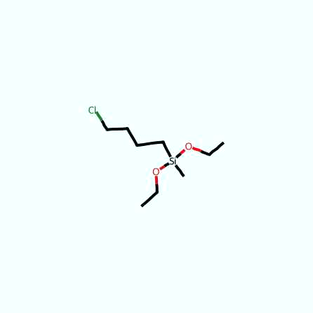 CCO[Si](C)(CCCCCl)OCC